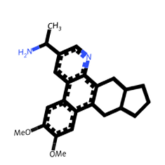 COc1cc2c3c(c4ncc(C(C)N)cc4c2cc1OC)CC1CCCC1C3